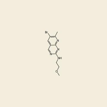 COCCNc1ncc2cc(Br)c(C)nc2n1